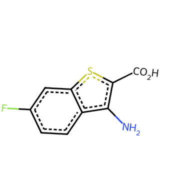 Nc1c(C(=O)O)sc2cc(F)ccc12